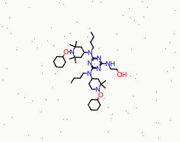 CCCCN(c1nc(NCCO)nc(N(CCCC)C2CC(C)(C)N(OC3CCCCC3)C(C)(C)C2)n1)C1CCN(OC2CCCCC2)C(C)(C)C1